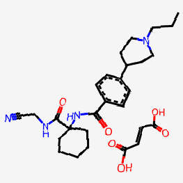 CCCN1CCC(c2ccc(C(=O)NC3(C(=O)NCC#N)CCCCC3)cc2)CC1.O=C(O)C=CC(=O)O